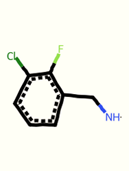 [NH]Cc1cccc(Cl)c1F